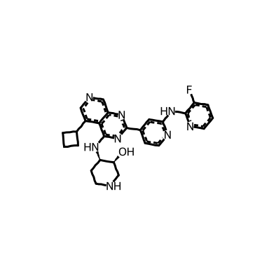 O[C@H]1CNCC[C@H]1Nc1nc(-c2ccnc(Nc3ncccc3F)c2)nc2cncc(C3CCC3)c12